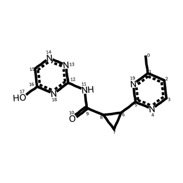 Cc1ccnc(C2CC2C(=O)Nc2nncc(O)n2)n1